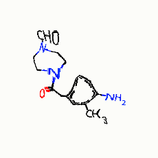 Cc1cc(C(=O)N2CCN(C=O)CC2)ccc1N